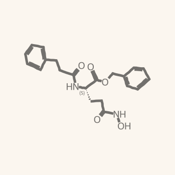 O=C(CC[C@H](NC(=O)CCc1ccccc1)C(=O)OCc1ccccc1)NO